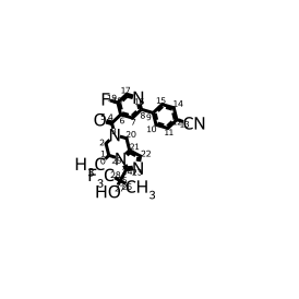 CC1CN(C(=O)c2cc(-c3ccc(C#N)cc3)ncc2F)Cc2cnc(C(C)(O)C(F)(F)F)n21